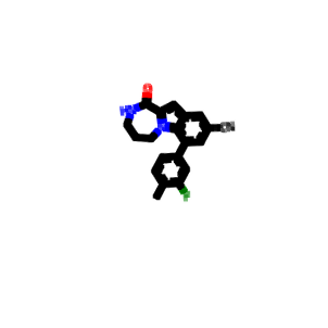 Cc1ccc(-c2cc(C#N)cc3cc4n(c23)CCCNC4=O)cc1F